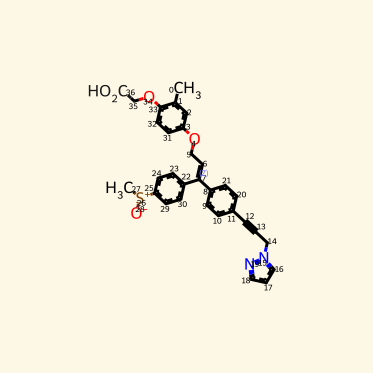 Cc1cc(OC/C=C(/c2ccc(C#CCn3cccn3)cc2)c2ccc([S+](C)[O-])cc2)ccc1OCC(=O)O